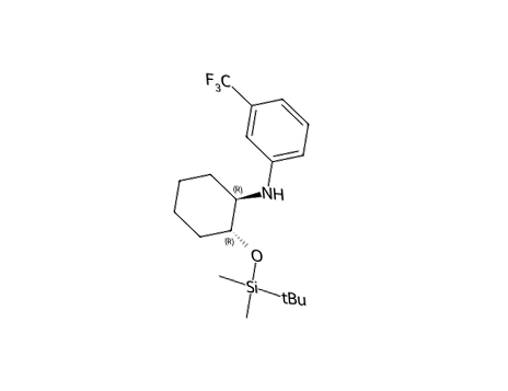 CC(C)(C)[Si](C)(C)O[C@@H]1CCCC[C@H]1Nc1cccc(C(F)(F)F)c1